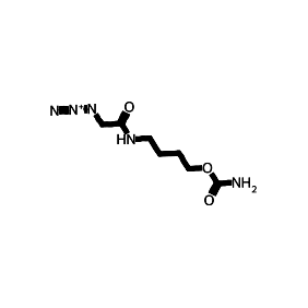 [N-]=[N+]=NCC(=O)NCCCCOC(N)=O